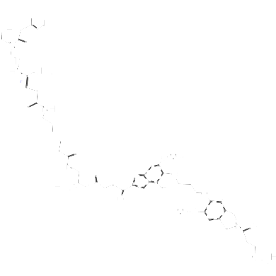 CCC=C(CC)CC(=O)N(CO)CBN/C(C=O)=C/CC(=O)NCCOCCC(=O)NC[C@H](C)OC(=O)CCC(=O)c1cc2c(F)c(OCCCOc3c(OC)cc4c(c3F)CN(C(=O)CCC(=O)O)C4)c(OC)cc2s1